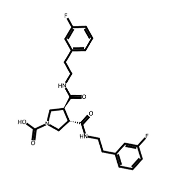 O=C(NCCc1cccc(F)c1)[C@@H]1CN(C(=O)O)C[C@H]1C(=O)NCCc1cccc(F)c1